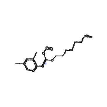 CCCCCCCCCCCCCCCCO/C(=N/c1ccc(C)cc1C)OC=O